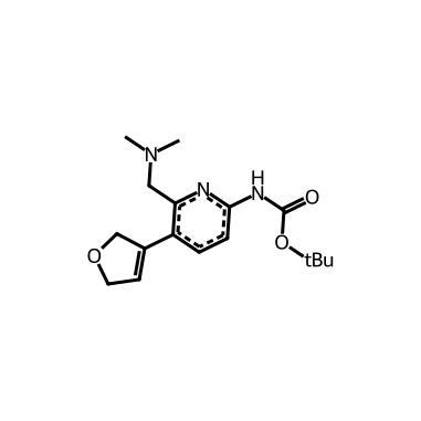 CN(C)Cc1nc(NC(=O)OC(C)(C)C)ccc1C1=CCOC1